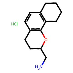 Cl.NCC1CCc2ccc3c(c2O1)CCCC3